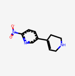 O=[N+]([O-])c1ccc(C2=CCNCC2)cn1